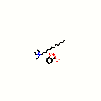 CCCCCCCCCCCC[N+](CC)(CC)CC.O=C([O-])c1ccccc1O